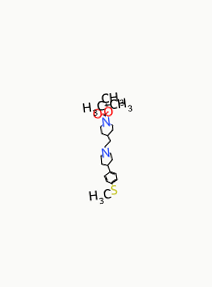 CSc1ccc(C2CCN(CCC3CCN(C(=O)OC(C)(C)C)CC3)CC2)cc1